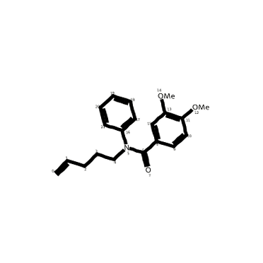 C=CCCCN(C(=O)c1ccc(OC)c(OC)c1)c1ccccc1